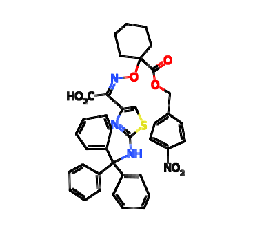 O=C(O)C(=NOC1(C(=O)OCc2ccc([N+](=O)[O-])cc2)CCCCC1)c1csc(NC(c2ccccc2)(c2ccccc2)c2ccccc2)n1